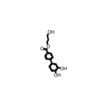 O=C(OCCCO)c1ccc(-c2ccc(O)c(O)c2)cc1